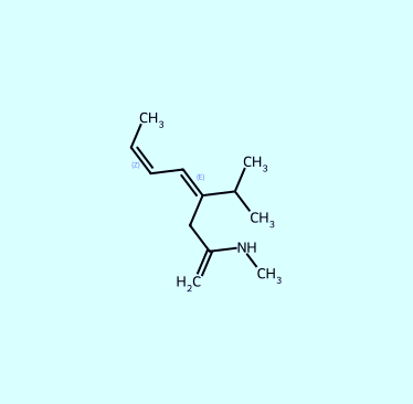 C=C(C/C(=C\C=C/C)C(C)C)NC